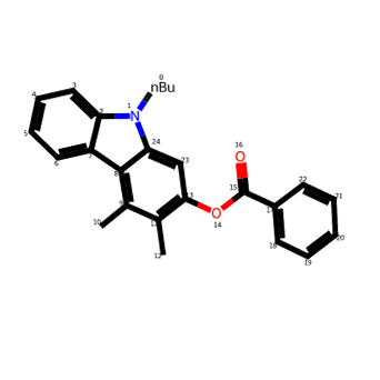 CCCCn1c2ccccc2c2c(C)c(C)c(OC(=O)c3ccccc3)cc21